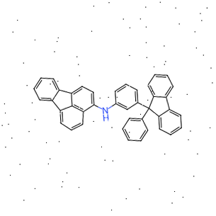 c1ccc(C2(c3cccc(Nc4ccc5c6c(cccc46)-c4ccccc4-5)c3)c3ccccc3-c3ccccc32)cc1